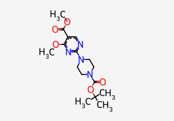 COC(=O)c1cnc(N2CCN(C(=O)OC(C)(C)C)CC2)nc1OC